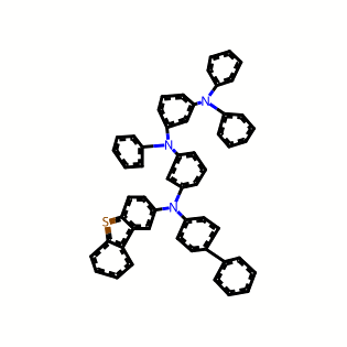 c1ccc(-c2ccc(N(c3cccc(N(c4ccccc4)c4cccc(N(c5ccccc5)c5ccccc5)c4)c3)c3ccc4sc5ccccc5c4c3)cc2)cc1